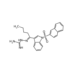 CCCCC(=NNC(=N)N)c1cn(S(=O)(=O)c2ccc3ccccc3c2)c2ccccc12